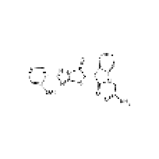 CC(=O)Oc1ccccc1-c1nc2s/c(=C3\C(=O)N(CC(N)=O)c4ccccc43)c(=O)n2n1